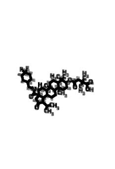 CC(C)C1=C2C3CCC4[C@@](C)(CCC5C(C)(C)[C@@H](OC(=O)CC(C)(C)C(=O)O)CC[C@@]54C)C3CCC2(C(=O)NCC2CCC(F)(F)CC2)CC1=O